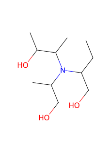 CCC(CO)N(C(C)CO)C(C)C(C)O